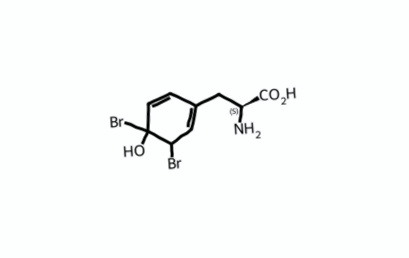 N[C@@H](CC1=CC(Br)C(O)(Br)C=C1)C(=O)O